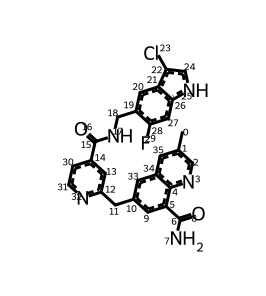 Cc1cnc2c(C(N)=O)cc(Cc3cc(C(=O)NCc4cc5c(Cl)c[nH]c5cc4F)ccn3)cc2c1